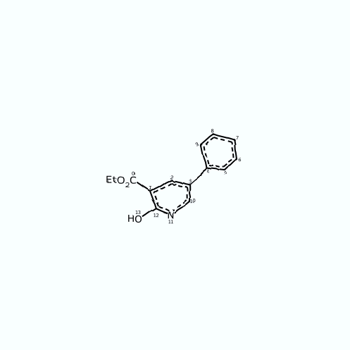 CCOC(=O)c1cc(-c2ccccc2)cnc1O